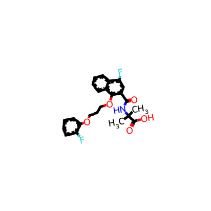 CC(C)(NC(=O)c1cc(F)c2ccccc2c1OCCCOc1ccccc1F)C(=O)O